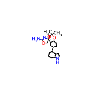 CC1(C)Oc2ccc(-c3cccc4[nH]ccc34)cc2C2(COC(N)=N2)C12COC2